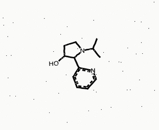 CC(C)N1CCC(O)C1c1ccccn1